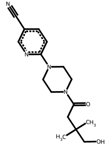 CC(C)(CO)CC(=O)N1CCN(c2ccc(C#N)cn2)CC1